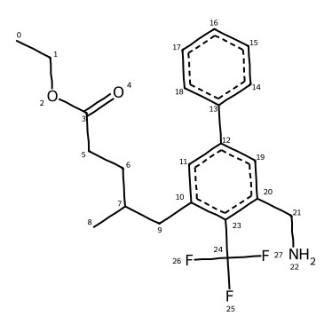 CCOC(=O)CCC(C)Cc1cc(-c2ccccc2)cc(CN)c1C(F)(F)F